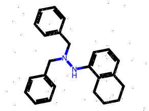 c1ccc(CN(Cc2ccccc2)Nc2cccc3c2CCCC3)cc1